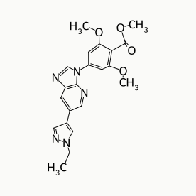 CCn1cc(-c2cnc3c(c2)ncn3-c2cc(OC)c(C(=O)OC)c(OC)c2)cn1